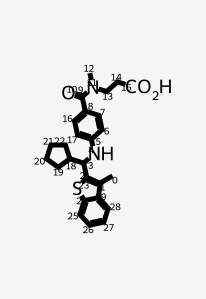 Cc1c(C(Nc2ccc(C(=O)N(C)CCC(=O)O)cc2)C2CCCC2)sc2ccccc12